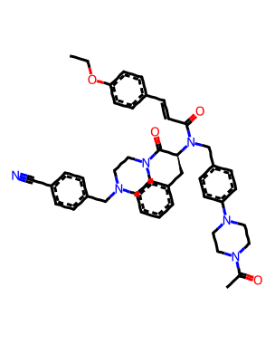 CCOc1ccc(/C=C/C(=O)N(Cc2ccc(N3CCN(C(C)=O)CC3)cc2)[C@@H](Cc2ccccc2)C(=O)N2CCN(Cc3ccc(C#N)cc3)CC2)cc1